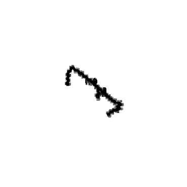 CCCCC/C=C\C/C=C\CCCCCCCCNC(=O)CCN(CCC(=O)NCCCCCCCC/C=C\C/C=C\CCCCC)CCN(C)C